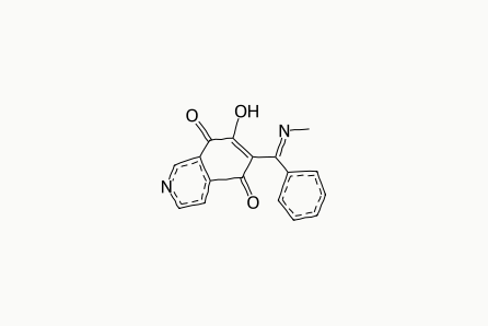 CN=C(C1=C(O)C(=O)c2cnccc2C1=O)c1ccccc1